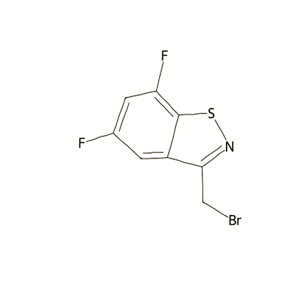 Fc1cc(F)c2snc(CBr)c2c1